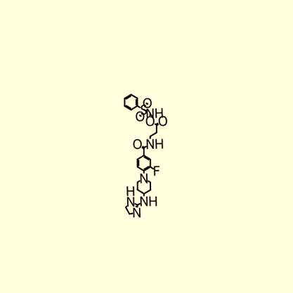 O=C(CCNC(=O)c1ccc(N2CCC(NC3=NCCN3)CC2)c(F)c1)ONS(=O)(=O)c1ccccc1